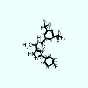 CC(NC(=O)c1cc(C(F)(F)F)cc(C(F)(F)F)c1)c1nc(-c2ccc(F)cc2)n[nH]1